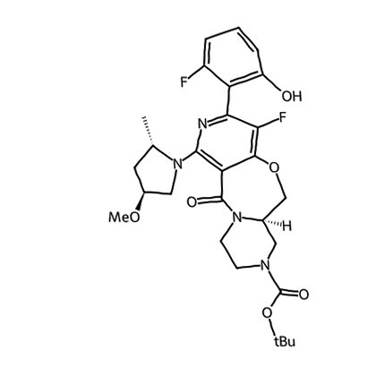 CO[C@H]1C[C@H](C)N(c2nc(-c3c(O)cccc3F)c(F)c3c2C(=O)N2CCN(C(=O)OC(C)(C)C)C[C@@H]2CO3)C1